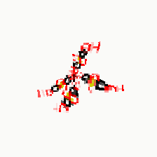 O=S(=O)(c1ccc(O)cc1)c1ccc(OCC(COc2ccc(S(=O)(=O)c3ccc(O)cc3)cc2)(COc2ccc(S(=O)(=O)c3ccc(O)cc3)cc2)Oc2ccc(S(=O)(=O)c3ccc(O)cc3)cc2)cc1